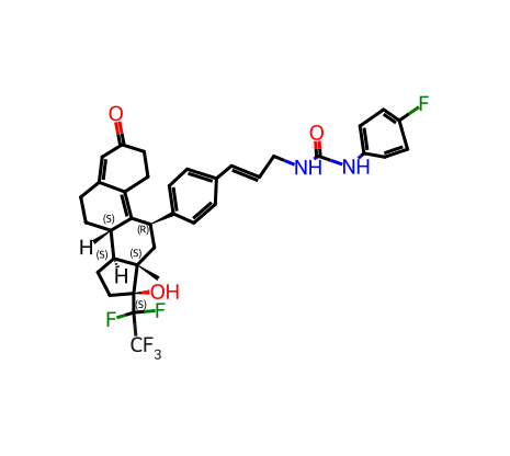 C[C@]12C[C@H](c3ccc(C=CCNC(=O)Nc4ccc(F)cc4)cc3)C3=C4CCC(=O)C=C4CC[C@H]3[C@@H]1CC[C@@]2(O)C(F)(F)C(F)(F)F